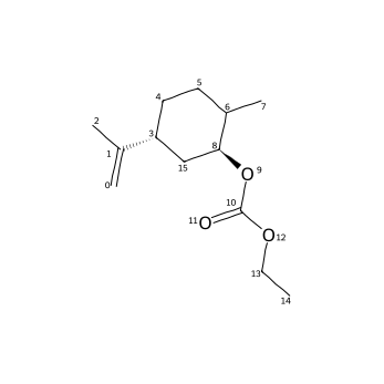 C=C(C)[C@@H]1CCC(C)[C@@H](OC(=O)OCC)C1